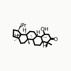 CC(C)[C@@H]1CC[C@]2(C)CC[C@]3(C)[C@H](CC[C@@H]4[C@@]5(C)C(O)CC(=O)C(C)(C)[C@@H]5CC[C@]43C)[C@@H]12